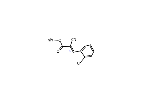 CCCOC(=O)/C(C#N)=C/c1ccccc1Cl